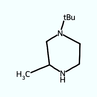 CC1CN(C(C)(C)C)CCN1